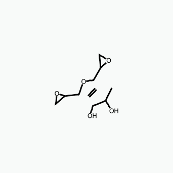 C(OCC1CO1)C1CO1.C=C.CC(O)CO